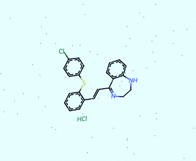 Cl.Clc1ccc(Sc2ccccc2C=CC2=NCCNc3ccccc32)cc1